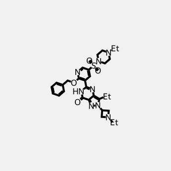 CCc1c2nc(-c3cc(S(=O)(=O)N4CCN(CC)CC4)cnc3OCc3ccccc3)[nH]c(=O)c2nn1C1CN(CC)C1